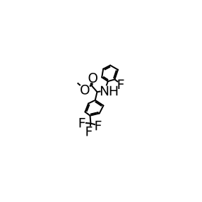 COC(=O)C(Nc1ccccc1F)c1ccc(C(F)(F)F)cc1